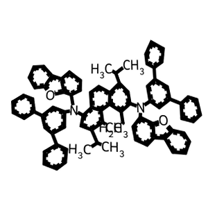 C=Cc1c(N(c2cc(-c3ccccc3)cc(-c3ccccc3)c2)c2cccc3c2oc2ccccc23)cc(C(C)C)c2ccc3c(N(c4cc(-c5ccccc5)cc(-c5ccccc5)c4)c4cccc5c4oc4ccccc45)cc(C(C)C)c(C)c3c12